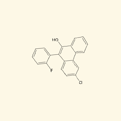 Oc1c(-c2ccccc2F)c2ccc(Cl)cc2c2ccccc12